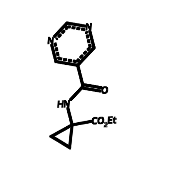 CCOC(=O)C1(NC(=O)c2cncnc2)CC1